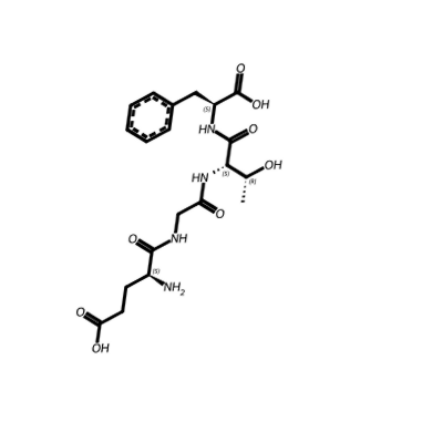 C[C@@H](O)[C@H](NC(=O)CNC(=O)[C@@H](N)CCC(=O)O)C(=O)N[C@@H](Cc1ccccc1)C(=O)O